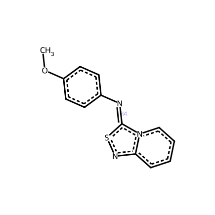 COc1ccc(/N=c2\snc3ccccn23)cc1